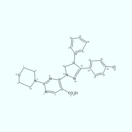 CCOC(=O)c1cnc(N2CCOCC2)nc1N1CC(c2ccccc2)C(c2ccc(Cl)cc2)=N1